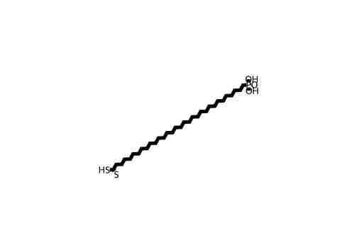 O=P(O)(O)CCCCCCCCCCCCCCCCCCCCCCCCCCCCCCCC(=S)S